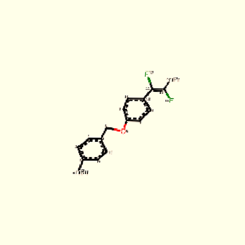 CCCCc1ccc(COc2ccc(C(F)=C(F)CCC)cc2)cc1